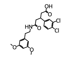 COc1cc(CCNC(=O)CC(CC(=O)O)c2ccc(Cl)c(Cl)c2)cc(OC)c1